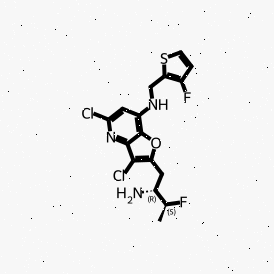 C[C@H](F)[C@H](N)Cc1oc2c(NCc3sccc3F)cc(Cl)nc2c1Cl